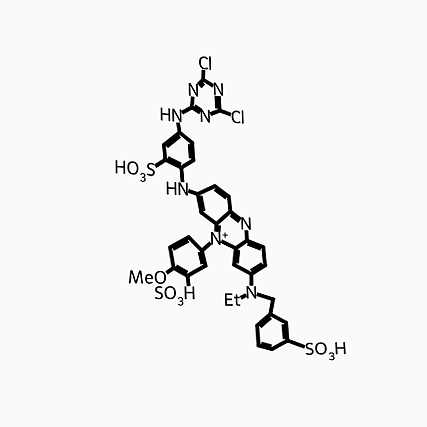 CCN(Cc1cccc(S(=O)(=O)O)c1)c1ccc2nc3ccc(Nc4ccc(Nc5nc(Cl)nc(Cl)n5)cc4S(=O)(=O)O)cc3[n+](-c3ccc(OC)c(S(=O)(=O)O)c3)c2c1